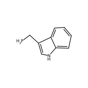 PCc1c[nH]c2ccccc12